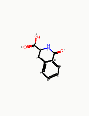 O=C1NC(C(=O)O)Cc2ccccc21